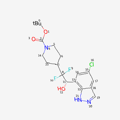 CC(C)(C)OC(=O)N1CCC(C(F)(F)[C@@H](O)c2cc(Cl)cc3cn[nH]c23)CC1